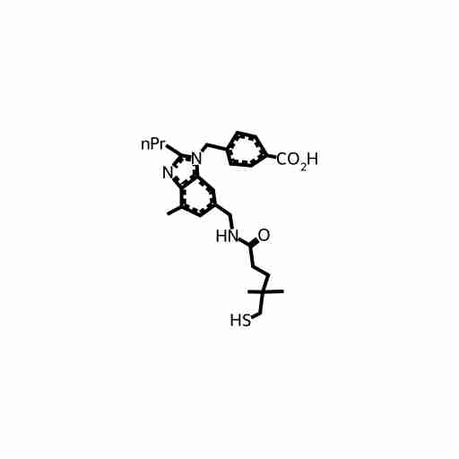 CCCc1nc2c(C)cc(CNC(=O)CCC(C)(C)CS)cc2n1Cc1ccc(C(=O)O)cc1